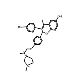 CC1=C(c2ccc(Br)cc2)C(c2ccc(OC[C@H](C)N3CC[C@@H](C)C3)cc2)Oc2ccc(O)cc21